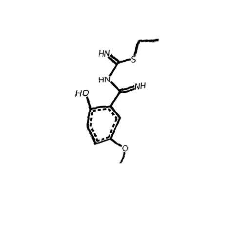 CCSC(=N)NC(=N)c1cc(OC)ccc1O